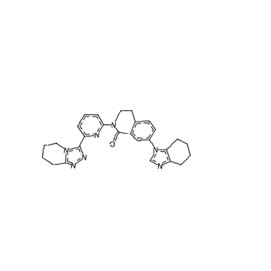 O=C1c2cc(-n3cnc4c3CCCC4)ccc2CCN1c1cccc(-c2nnc3n2CCCC3)n1